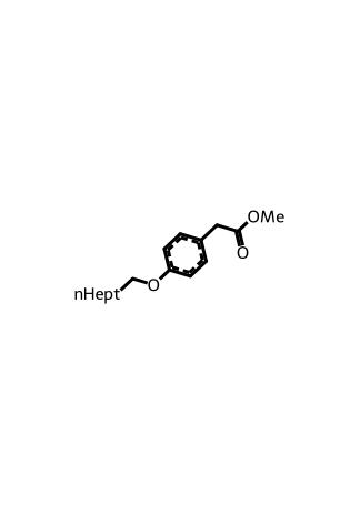 CCCCCCCCOc1ccc(CC(=O)OC)cc1